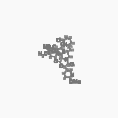 COc1ccc([C@@H](OCOCC[Si](C)(C)C)C(=O)N(CCCc2cccc(Cl)c2)Cc2nc(C(=O)O)c(C)s2)cn1